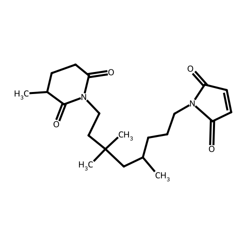 CC(CCCN1C(=O)C=CC1=O)CC(C)(C)CCN1C(=O)CCC(C)C1=O